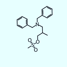 CC(COS(C)(=O)=O)CN(Cc1ccccc1)Cc1ccccc1